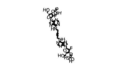 O=[PH](S)O[C@H]1[C@@H](F)[C@H](n2cnc3c(NCC#CCNc4ncnc5c4ncn5[C@@H]4O[C@H](CO)[C@@H](O[PH](=O)S)[C@H]4F)ncnc32)O[C@@H]1CO